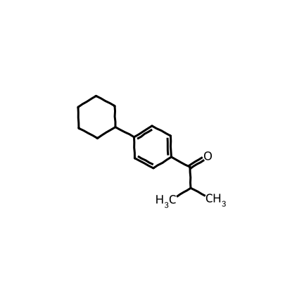 CC(C)C(=O)c1ccc(C2CCCCC2)cc1